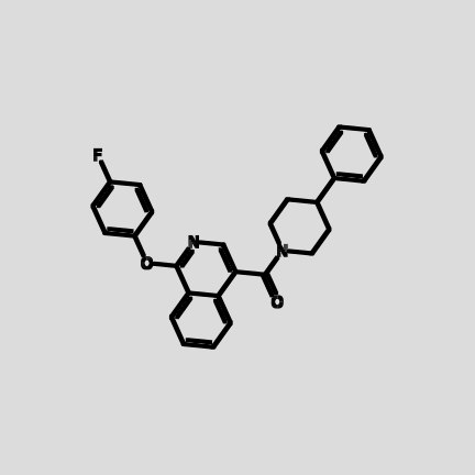 O=C(c1cnc(Oc2ccc(F)cc2)c2ccccc12)N1CCC(c2ccccc2)CC1